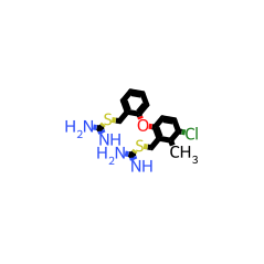 CC1C(CSC(=N)N)=C(Oc2ccccc2CSC(=N)N)C=CC1Cl